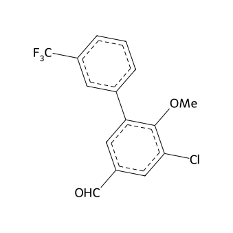 COc1c(Cl)cc(C=O)cc1-c1cccc(C(F)(F)F)c1